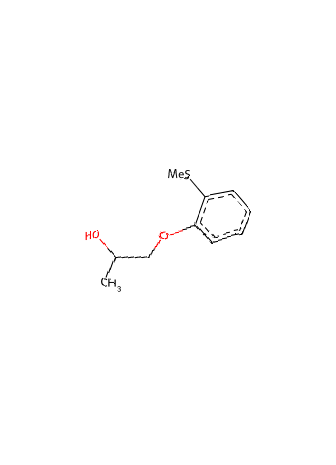 CSc1ccccc1OCC(C)O